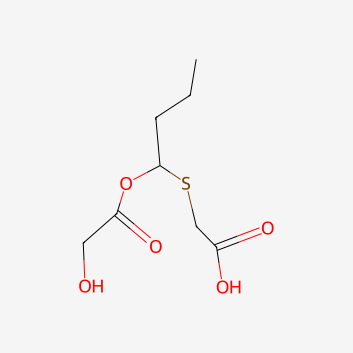 CCCC(OC(=O)CO)SCC(=O)O